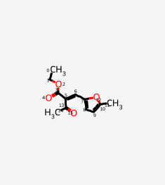 CCOC(=O)/C(=C/c1ccc(C)o1)C(C)=O